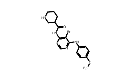 O=C(Nc1ncnc(Nc2ccc(OC(F)(F)F)cc2)c1Br)C1CCCNC1